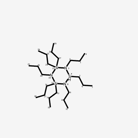 CCCN1[SiH](CCC)N(CCC)[Si](CCC)(CCC)N(CCC)[Si]1(CCC)CCC